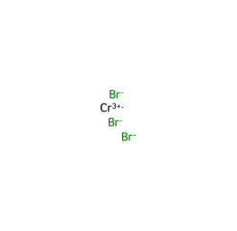 [Br-].[Br-].[Br-].[Cr+3]